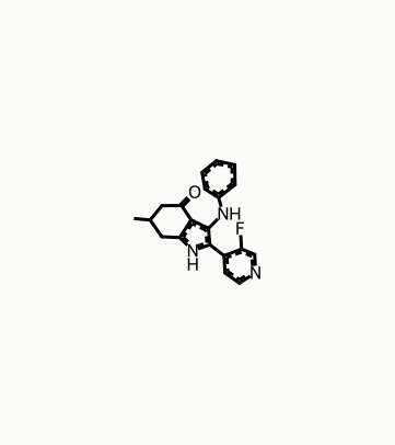 CC1CC(=O)c2c([nH]c(-c3ccncc3F)c2Nc2ccccc2)C1